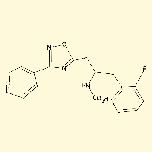 O=C(O)NC(Cc1nc(-c2ccccc2)no1)Cc1ccccc1F